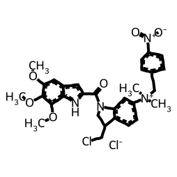 COc1cc2cc(C(=O)N3CC(CCl)c4ccc([N+](C)(C)Cc5ccc([N+](=O)[O-])cc5)cc43)[nH]c2c(OC)c1OC.[Cl-]